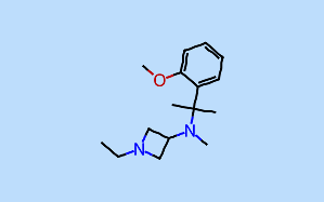 CCN1CC(N(C)C(C)(C)c2ccccc2OC)C1